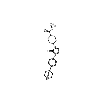 COC(=O)C1CCC(n2ccn(-c3ccc(C45CCN(CC4)CC5)cc3)c2=O)CC1